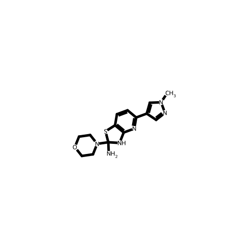 Cn1cc(-c2ccc3c(n2)NC(N)(N2CCOCC2)S3)cn1